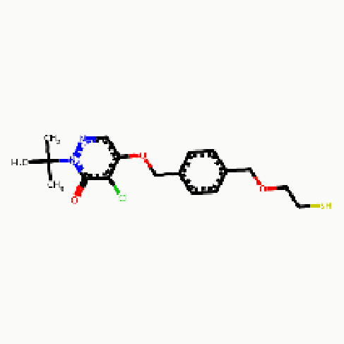 CC(C)(C)n1ncc(OCc2ccc(COCCS)cc2)c(Cl)c1=O